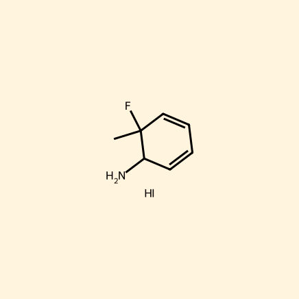 CC1(F)C=CC=CC1N.I